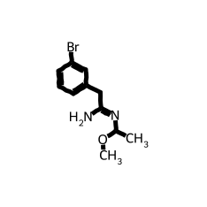 COC(C)/N=C(\N)Cc1cccc(Br)c1